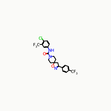 O=C(Nc1ccc(Cl)c(C(F)(F)F)c1)N1CCC2(CC1)CC(c1ccc(C(F)(F)F)cc1)=NO2